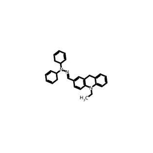 CCN1c2ccccc2Cc2cc(C=NN(C3C=CC=CC3)C3C=CC=CC3)ccc21